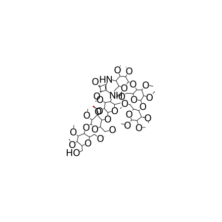 COCC1OC(CO)C(OC)C(OC)C1OC1OC(COC)C(OC2OC(C)C(Nc3c(NC4C(C)OC(OC5C(COC)OC(OC6C(COC)OC(OC)C(OC)[C@@H]6OC)C(OC)C5OC)C(OC)C4OC)c(=O)c3=O)C(OC)C2OC)C(OC)C1OC